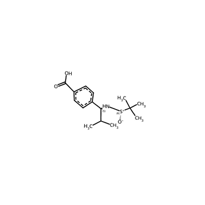 CC(C)[C@H](N[S@@+]([O-])C(C)(C)C)c1ccc(C(=O)O)cc1